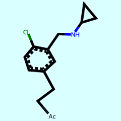 CC(=O)CCc1ccc(Cl)c(CNC2CC2)c1